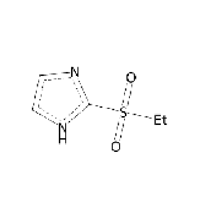 CCS(=O)(=O)c1ncc[nH]1